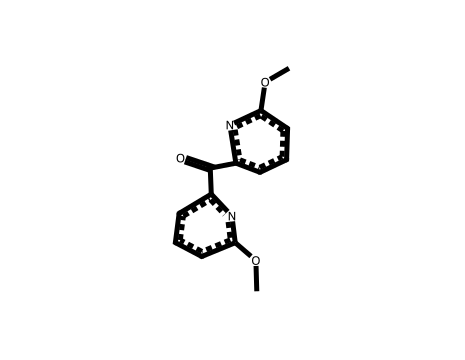 COc1cccc(C(=O)c2cccc(OC)n2)n1